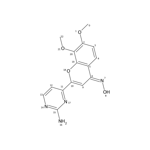 COc1ccc2/c(=N/O)cc(-c3ccnc(N)n3)oc2c1OC